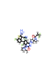 C[C@H](Oc1nc(N2CCC3(CCN3C(=O)C3CC3(F)F)C2)c2cc(Cl)c(-c3ccc(F)c4sc(N)c(C#N)c34)c(F)c2n1)[C@@H]1CCCN1C